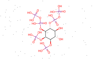 O=P(O)(O)O[C@H]1[C@@H](OP(=O)(O)OP(=O)(O)O)[C@H](OP(=O)(O)OP(=O)(O)O)[C@@H](O)[C@H](O)[C@H]1OP(=O)(O)O